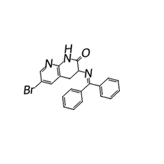 O=C1Nc2ncc(Br)cc2CC1N=C(c1ccccc1)c1ccccc1